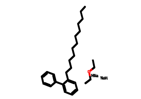 CCCCCCCCCCCCc1ccccc1-c1ccccc1.CCOCC.[NaH].[NaH]